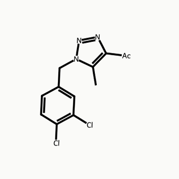 CC(=O)c1nnn(Cc2ccc(Cl)c(Cl)c2)c1C